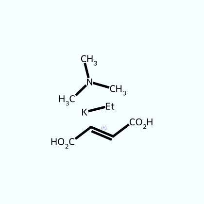 CN(C)C.C[CH2][K].O=C(O)/C=C/C(=O)O